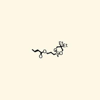 CC=CC(=O)OCCC[Si]1(C)OCC(CC)(CC)CO1